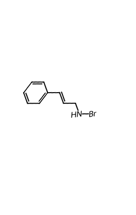 BrNC/C=C/c1ccccc1